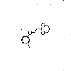 Cc1cccc(OCCC2OCCCO2)c1